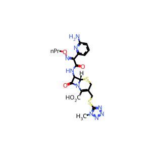 CCCON=C(C(=O)NC1C(=O)N2C(C(=O)O)=C(CSc3nnnn3C)CS[C@@H]12)c1cccc(N)n1